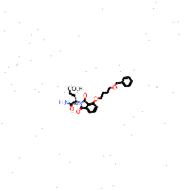 NC(=O)[C@H](CCC(=O)O)N1C(=O)c2cccc(OCCCCOCc3ccccc3)c2C1=O